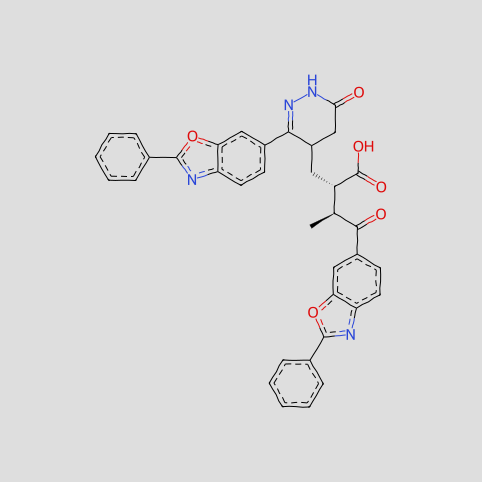 C[C@H](C(=O)c1ccc2nc(-c3ccccc3)oc2c1)[C@H](CC1CC(=O)NN=C1c1ccc2nc(-c3ccccc3)oc2c1)C(=O)O